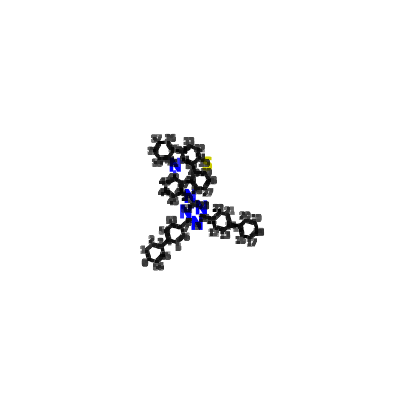 c1ccc(-c2ccc(-c3nc(-c4ccc(-c5ccccc5)cc4)nc(-n4c5ccc6sc7ccc8c9ccccc9n9c%10cccc4c%10c5c6c7c89)n3)cc2)cc1